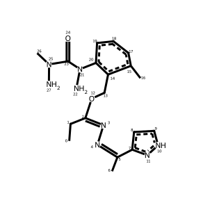 CCC(=NN=C(C)c1cc[nH]n1)OCc1c(C)cccc1N(N)C(=O)N(C)N